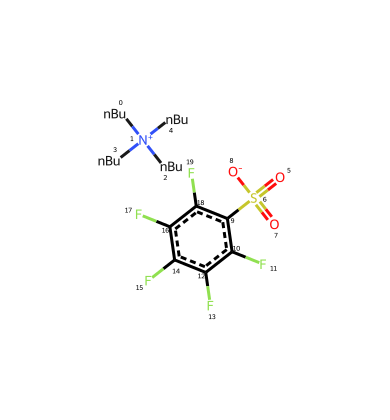 CCCC[N+](CCCC)(CCCC)CCCC.O=S(=O)([O-])c1c(F)c(F)c(F)c(F)c1F